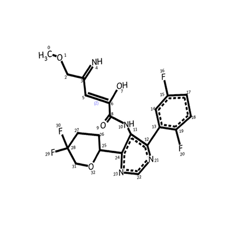 COCC(=N)/C=C(\O)C(=O)Nc1c(-c2cc(F)ccc2F)ncnc1C1CCC(F)(F)CO1